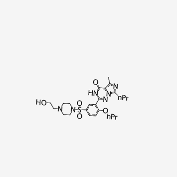 CCCOc1ccc(S(=O)(=O)N2CCN(CCO)CC2)cc1-c1nn2c(CCC)nc(C)c2c(=O)[nH]1